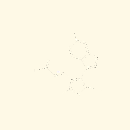 Cc1nn(C)c(-n2ccc3cc(F)ccc32)c1/C=C/C(=O)O